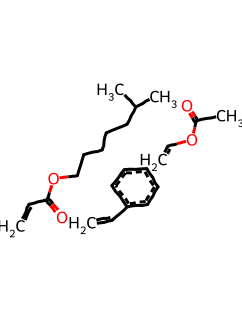 C=CC(=O)OCCCCCC(C)C.C=COC(C)=O.C=Cc1ccccc1